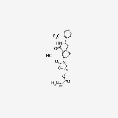 C[C@H](N)C(=O)OC[C@H]1CN(c2ccc3cc(-c4ccccc4C(F)(F)F)[nH]c(=O)c3c2)C(=O)O1.Cl